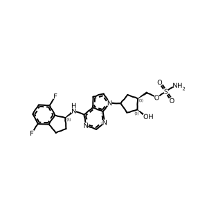 NS(=O)(=O)OC[C@@H]1CC(n2ccc3c(N[C@H]4CCc5c(F)ccc(F)c54)ncnc32)C[C@@H]1O